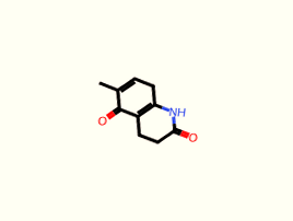 CC1=CCC2=C(CCC(=O)N2)C1=O